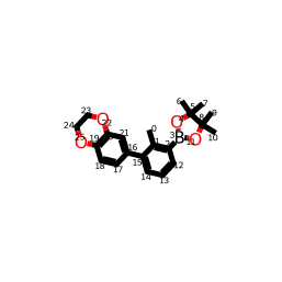 Cc1c(B2OC(C)(C)C(C)(C)O2)cccc1-c1ccc2c(c1)OCCO2